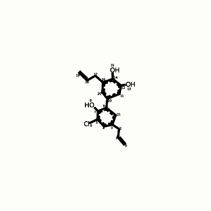 C=CCc1cc(Cl)c(O)c(-c2cc(O)c(O)c(CC=C)c2)c1